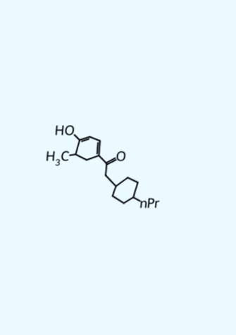 CCCC1CCC(CC(=O)C2=CC=C(O)C(C)C2)CC1